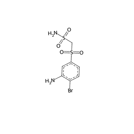 Nc1cc(S(=O)(=O)CS(N)(=O)=O)ccc1Br